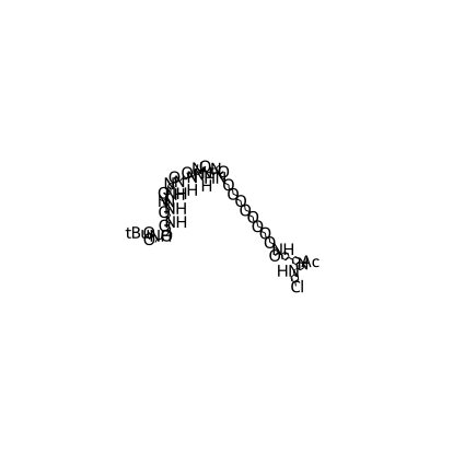 CC(=O)N1c2ccc(-c3ccc(C(=O)NCCOCCOCCOCCOCCOCCOCCOCCOCCNC(=O)c4cc(NC(=O)c5nc(NC(=O)CCNC(=O)c6cc(NC(=O)c7nc(NC(=O)CCNC(=O)CC(C)(C)OCCC(C)NC(=O)OC(C)(C)C)cn7C)cn6C)cn5C)cn4C)cc3)cc2[C@H](Nc2ccc(Cl)cc2)C[C@@H]1C